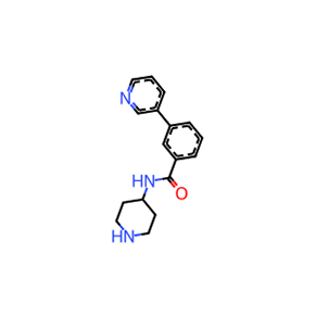 O=C(NC1CCNCC1)c1cccc(-c2cccnc2)c1